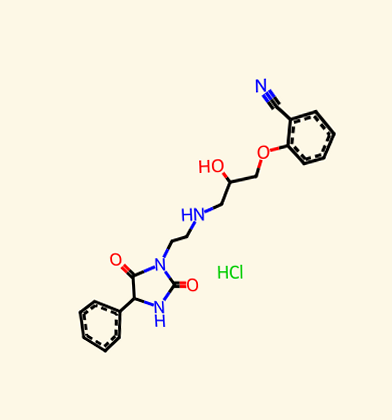 Cl.N#Cc1ccccc1OCC(O)CNCCN1C(=O)NC(c2ccccc2)C1=O